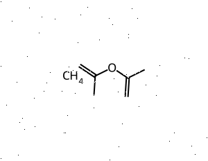 C.C=C(C)OC(=C)C